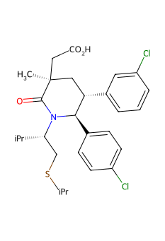 CC(C)SC[C@H](C(C)C)N1C(=O)[C@@](C)(CC(=O)O)C[C@H](c2cccc(Cl)c2)[C@H]1c1ccc(Cl)cc1